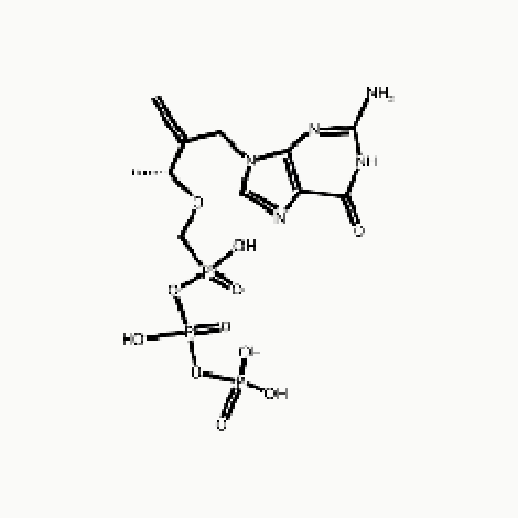 C=C(Cn1cnc2c(=O)[nH]c(N)nc21)[C@@H](C)OCP(=O)(O)OP(=O)(O)OP(=O)(O)O